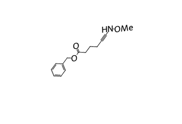 CONC#CCCCC(=O)OCc1ccccc1